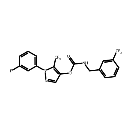 O=C(NCc1cccc(C(F)(F)F)c1)Oc1cnn(-c2cccc(F)c2)c1C(F)(F)F